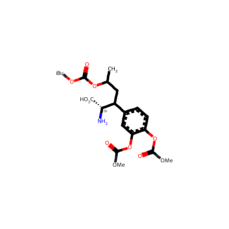 CCC(C)OC(=O)OC(C)CC(c1ccc(OC(=O)OC)c(OC(=O)OC)c1)[C@H](N)C(=O)O